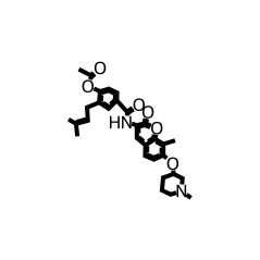 CC(=O)Oc1ccc(C(=O)Nc2cc3ccc(OC4CCCN(C)C4)c(C)c3oc2=O)cc1CC=C(C)C